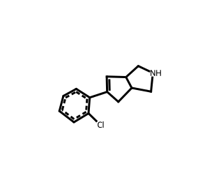 Clc1ccccc1C1=CC2CNCC2C1